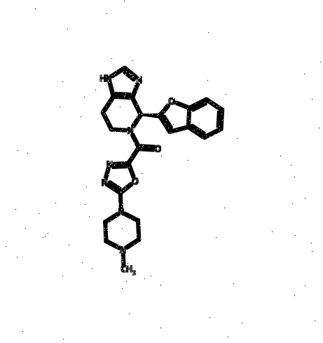 CN1CCN(c2nnc(C(=O)N3CCc4[nH]cnc4[C@H]3c3cc4ccccc4o3)o2)CC1